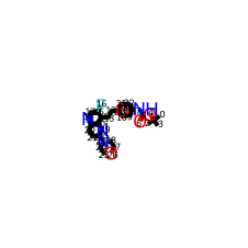 CC(C)(C)OC(=O)NC12CCC(CCc3c(F)cnc4ccc(N5CCOCC5)nc34)(CC1)OC2